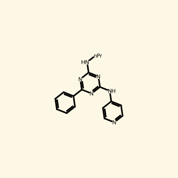 CCCNc1nc(Nc2ccncc2)nc(-c2ccccc2)n1